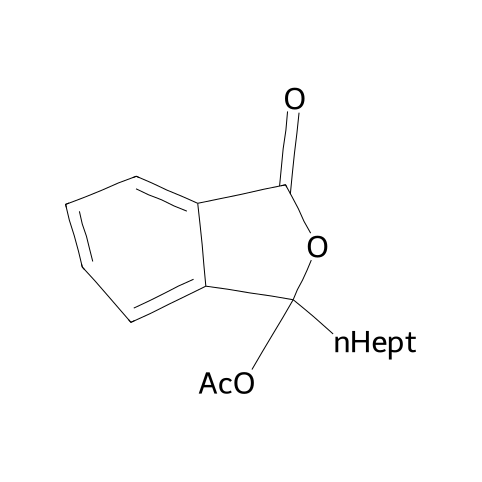 CCCCCCCC1(OC(C)=O)OC(=O)c2ccccc21